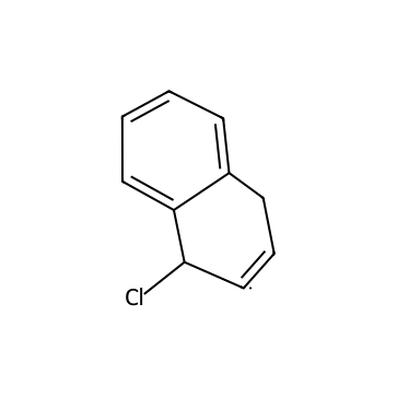 ClC1[C]=CCc2ccccc21